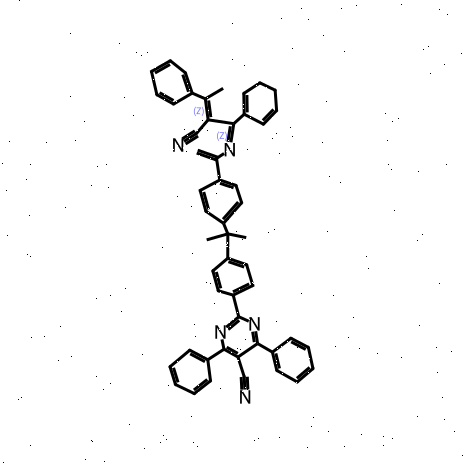 C=C(/N=C(C1=CCCC=C1)\C(C#N)=C(/C)c1ccccc1)c1ccc(C(C)(C)c2ccc(-c3nc(-c4ccccc4)c(C#N)c(-c4ccccc4)n3)cc2)cc1